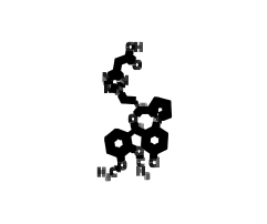 COc1cccc([C@H]2O[C@H](CCn3nnc(CC(=O)O)n3)c3cccn3-c3ccc(Cl)cc32)c1OC